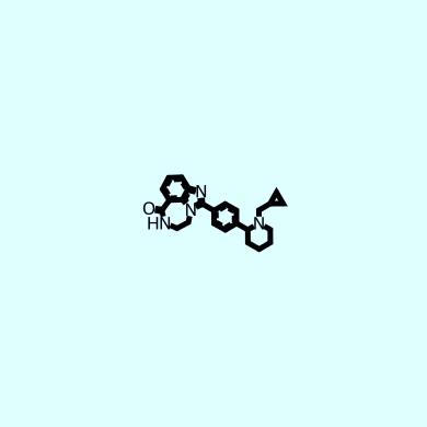 O=C1NCCn2c(-c3ccc(C4CCCCN4CC4CC4)cc3)nc3cccc1c32